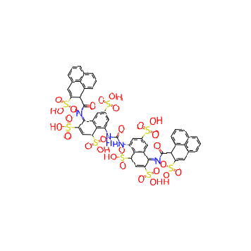 O=C(Nc1cc(S(=O)(=O)O)cc2c1C(S(=O)(=O)O)C=C(S(=O)(=O)O)C2=NC(=O)C1C(S(=O)(=O)O)=Cc2cccc3cccc1c23)Nc1cc(S(=O)(=O)O)cc2c1C(S(=O)(=O)O)C=C(S(=O)(=O)O)C2=NC(=O)C1C(S(=O)(=O)O)=Cc2cccc3cccc1c23